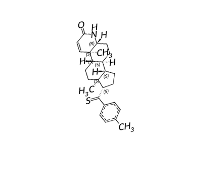 Cc1ccc(C(=S)[C@H]2CC[C@H]3[C@@H]4CC[C@H]5NC(=O)C=C[C@]5(C)[C@H]4CC[C@]23C)cc1